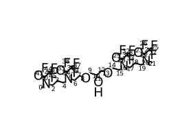 CN(CCCN(CCOCC(O)COCCN(CCCN(C)C(=O)C(F)(F)F)C(=O)C(F)(F)F)C(=O)C(F)(F)F)C(=O)C(F)(F)F